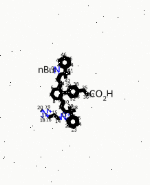 CCCCN1/C(=C/C=C2\CCCC(/C=C/C3=[N+](CCC[N+](C)(C)C)c4ccccc4C3(C)C)=C2c2ccc(CCC(=O)O)cc2)C(C)(C)c2ccccc21